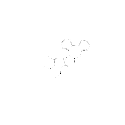 NC(=O)[C@H](CCC(F)(F)F)[C@H](CCC(F)(F)F)C(=O)N[C@@H]1C(=O)Nc2ccccc2-c2ccccc21